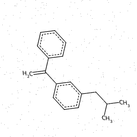 C=C(c1ccccc1)c1cccc(CC(C)C)c1